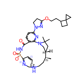 CC/C=C\C1=N/CNCC[C@H](C)[C@@H]2CN(c3nc(N4CCC(OCCC5CCC56CC6)=N4)ccc3C(=O)NS1(=O)=O)C(C)(C)C2